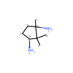 CC1(N)CC[C@H](N)C1(C)C